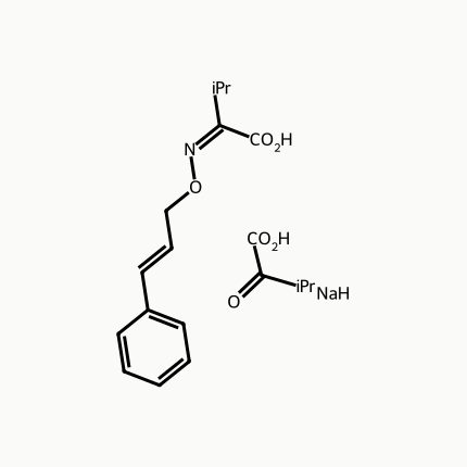 CC(C)C(=NOCC=Cc1ccccc1)C(=O)O.CC(C)C(=O)C(=O)O.[NaH]